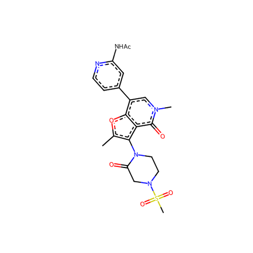 CC(=O)Nc1cc(-c2cn(C)c(=O)c3c(N4CCN(S(C)(=O)=O)CC4=O)c(C)oc23)ccn1